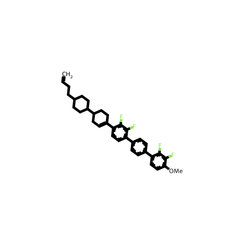 C=CCCC1CCC(C2CC=C(c3ccc(-c4ccc(-c5ccc(OC)c(F)c5F)cc4)c(F)c3F)CC2)CC1